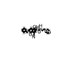 N#Cc1nc(OC(=O)NCCN2CCOCC2)c(O)c2ccn(Cc3ccccc3)c(=O)c12